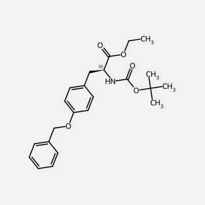 CCOC(=O)[C@H](Cc1ccc(OCc2ccccc2)cc1)NC(=O)OC(C)(C)C